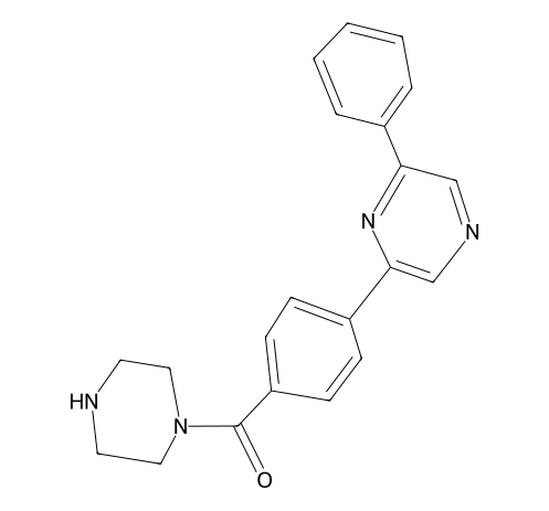 O=C(c1ccc(-c2cncc(-c3ccccc3)n2)cc1)N1CCNCC1